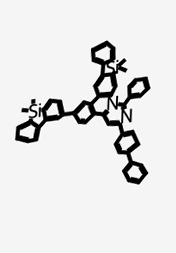 C[Si]1(C)c2ccccc2-c2cc(-c3ccc(-c4cc(-c5ccc(-c6ccccc6)cc5)nc(-c5ccccc5)n4)c(-c4ccc5c(c4)-c4ccccc4[Si]5(C)C)c3)ccc21